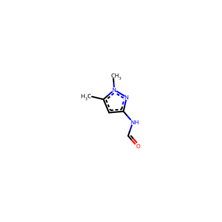 Cc1cc(NC=O)nn1C